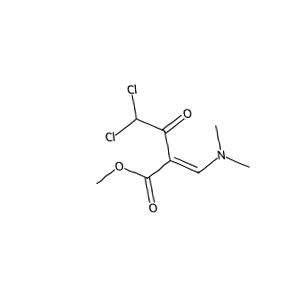 COC(=O)C(=CN(C)C)C(=O)C(Cl)Cl